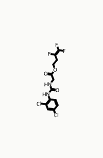 O=C(NCC(=O)OCCC(F)=C(F)F)Nc1ccc(Cl)cc1Cl